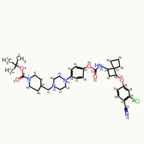 CC(C)(C)OC(=O)N1CCC(CN2CCN(c3ccc(OC(=O)NC4CC(Oc5ccc(C#N)c(Cl)c5)C45CCC5)cc3)CC2)CC1